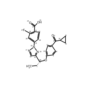 CC[C@@H](Oc1ccc(C(=O)C2CC2)cc1)c1cnn(-c2ccc(C(=O)O)c(F)c2)n1